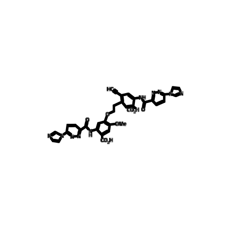 C#Cc1cc(NC(=O)c2ccc(-n3ccnc3)nn2)c(C(=O)O)cc1CCOc1cc(NC(=O)c2ccc(-n3ccnc3)nn2)c(C(=O)O)cc1OC